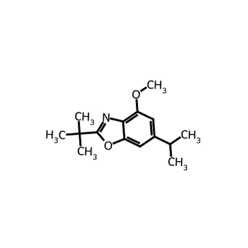 COc1cc(C(C)C)cc2oc(C(C)(C)C)nc12